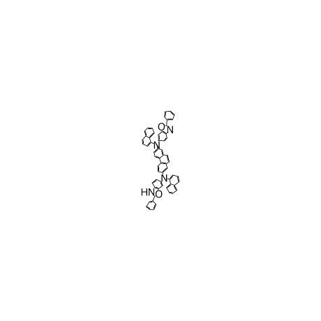 c1ccc(-c2nc3ccc(N(c4ccc5c(ccc6cc(N(c7ccc8c(c7)OC(c7ccccc7)N8)c7cccc8ccccc78)ccc65)c4)c4cccc5ccccc45)cc3o2)cc1